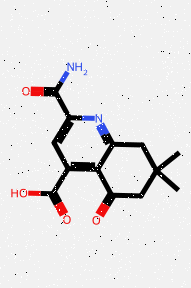 CC1(C)CC(=O)c2c(C(=O)O)cc(C(N)=O)nc2C1